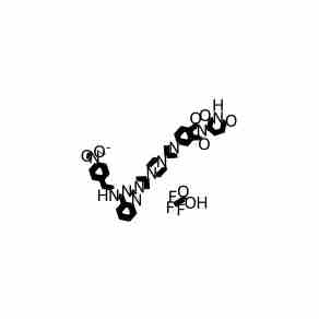 O=C(O)C(F)(F)F.O=C1CCC(N2C(=O)c3ccc(N4CC(N5CCN(C6CN(c7nc(NCCc8ccc([N+](=O)[O-])cc8)c8ccccc8n7)C6)CC5)C4)cc3C2=O)C(=O)N1